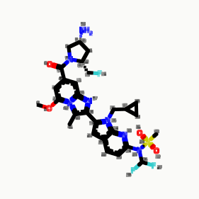 COc1cc(C(=O)N2C[C@H](N)C[C@@H]2CF)cc2nc(-c3cc4ccc(N(C(F)F)S(C)(=O)=O)nc4n3CC3CC3)c(C)n12